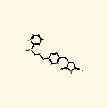 C=C1NC(=O)SC1Cc1ccc(OCCN(C)c2ccccn2)cc1